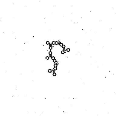 Cc1ccccc1N(c1ccccc1)c1ccc2cc3sc4cc5ccc(N(c6ccccc6)c6ccc(-c7ccc(N(c8ccccc8)c8ccc9cc%10sc%11cc%12ccc(N(c%13ccccc%13)c%13ccccc%13)cc%12cc%11c%10cc9c8)cc7)cc6C)cc5cc4c3cc2c1